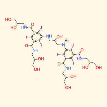 CC(=O)N(CC(O)CNc1c(I)c(C(=O)NCC(O)CO)c(I)c(C(=O)NCC(O)CO)c1I)c1c(I)c(C(=O)NCC(O)CO)c(I)c(C(=O)NCC(O)CO)c1I